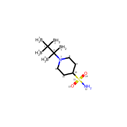 BC(B)(B)C(B)(B)N1CCC(S(N)(=O)=O)CC1